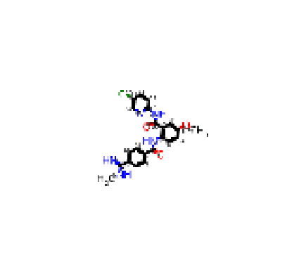 CNC(=N)c1ccc(C(=O)Nc2ccc(OC)cc2C(=O)Nc2ccc(Cl)cn2)cc1